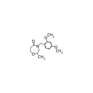 COc1ccc(CN2CC(C)OCCC2=O)c(OC)c1